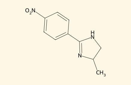 CC1CNC(c2ccc([N+](=O)[O-])cc2)=N1